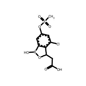 CS(=O)(=O)Oc1cc(Cl)c2c(c1)B(O)OC2CC(=O)O